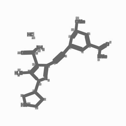 CNC(=O)c1cc(C#Cc2nn(C3CCNC3)c(N)c2C(N)=O)cc(OC)c1.Cl